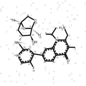 Cc1c(CN)n(C(C)C)c2cc(-c3nc(N[C@@H]4C[C@H]5CO[C@H](O5)[C@H]4O)ncc3F)ccc2c1=O